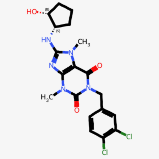 Cn1c(N[C@H]2CCC[C@H]2O)nc2c1c(=O)n(Cc1ccc(Cl)c(Cl)c1)c(=O)n2C